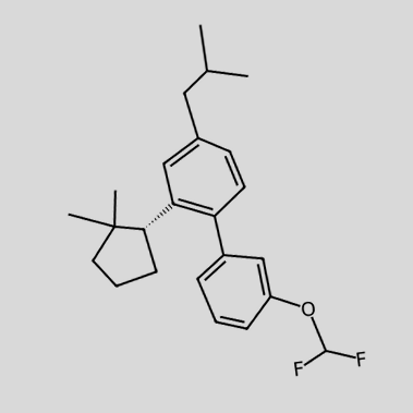 CC(C)Cc1ccc(-c2cccc(OC(F)F)c2)c([C@@H]2CCCC2(C)C)c1